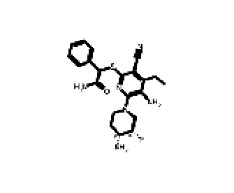 CCc1c(N)c(N2CC[C@@H](N)[C@@H](F)C2)nc(SC(C(N)=O)c2ccccc2)c1C#N